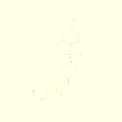 CC(C)(c1ccc(O[PH](=O)Oc2ccccc2)cc1)c1c(Br)c(Br)c(O)c(Br)c1Br